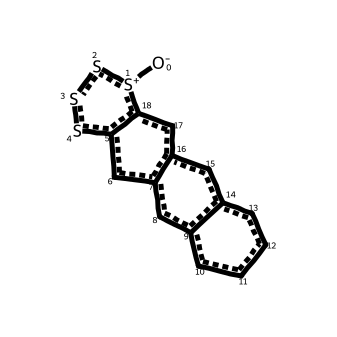 [O-][s+]1sssc2cc3cc4ccccc4cc3cc21